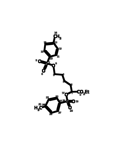 CCOC(=O)C(CCCCOS(=O)(=O)c1ccc(C)cc1)OS(=O)(=O)c1ccc(C)cc1